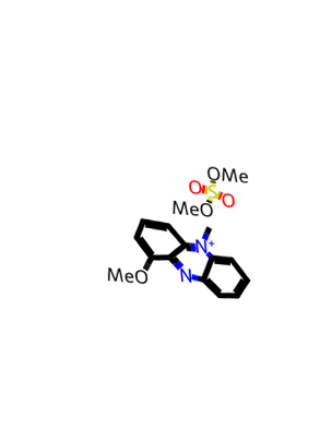 COS(=O)(=O)OC.COc1cccc2c1nc1ccccc1[n+]2C